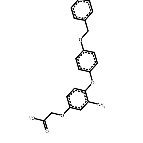 Nc1cc(OCC(=O)O)ccc1Oc1ccc(OCc2ccccc2)cc1